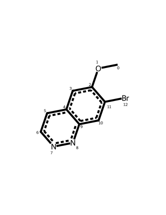 COc1cc2ccnnc2cc1Br